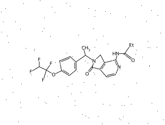 CCC(=O)Nc1nccc2c1CN(C(C)c1ccc(OC(F)(F)C(F)F)cc1)C2=O